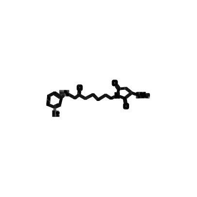 CCc1cccc(NCC(=O)CCCCCN2C(=O)CC(SC)C2=O)c1